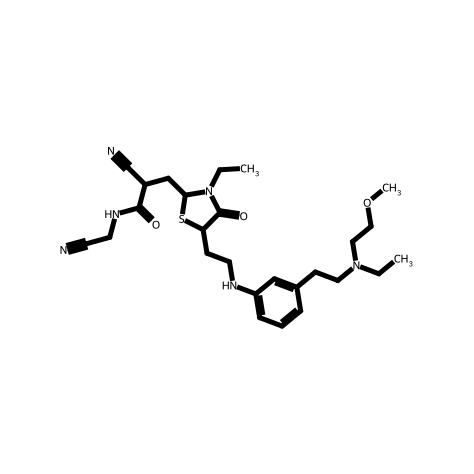 CCN(CCOC)CCc1cccc(NCCC2SC(CC(C#N)C(=O)NCC#N)N(CC)C2=O)c1